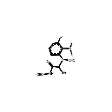 CCCC(C(=O)NC=O)N(C=O)c1cccc(C(C)C)c1N(C)C